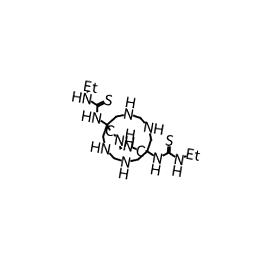 CCNC(=S)NC12CNCNCC(NC(=S)NCC)(CNCNC1)CNCNC2